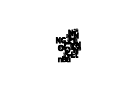 CCCCC(CC)COC(=O)C(C#N)=C1c2cncnc2-c2ncncc21